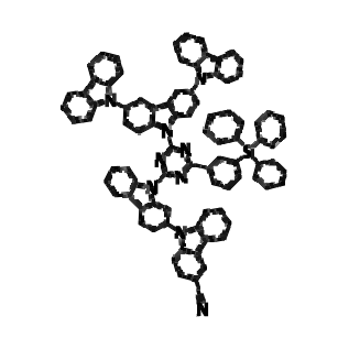 N#Cc1ccc2c(c1)c1ccccc1n2-c1ccc2c3ccccc3n(-c3nc(-c4cccc([Si](c5ccccc5)(c5ccccc5)c5ccccc5)c4)nc(-n4c5ccc(-n6c7ccccc7c7ccccc76)cc5c5cc(-n6c7ccccc7c7ccccc76)ccc54)n3)c2c1